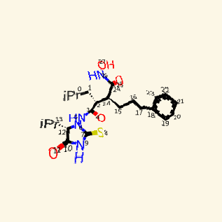 CC(C)C[C@@H](C(=O)NN1C(=S)NC(=O)[C@@H]1C(C)C)[C@H](CCCc1ccccc1)C(=O)NO